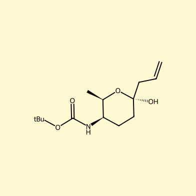 C=CC[C@@]1(O)CC[C@@H](NC(=O)OC(C)(C)C)[C@@H](C)O1